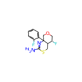 NC1=NC2(c3ccccc3F)COC[C@@H](F)C2CS1